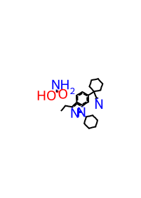 CCc1nn(C2CCCCC2)c2cc(C3(C#N)CCCCC3)ccc12.NC(=O)O